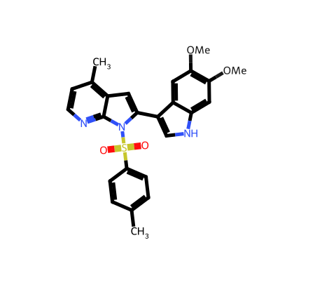 COc1cc2[nH]cc(-c3cc4c(C)ccnc4n3S(=O)(=O)c3ccc(C)cc3)c2cc1OC